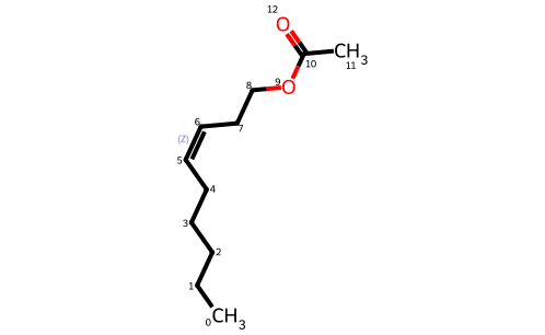 CCCCC/C=C\CCOC(C)=O